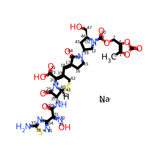 Cc1oc(=O)oc1COC(=O)N1C[C@H](N2CCC(=CC3=C(C(=O)O)N4C(=O)[C@@H](NC(=O)C(=NO)c5nsc(N)n5)[C@H]4SC3)C2=O)C[C@H]1CO.[Na]